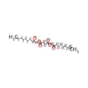 CCCCCCCCC(=O)COC(=O)/C=C/C(=O)OCC(=O)CCCCCCCC